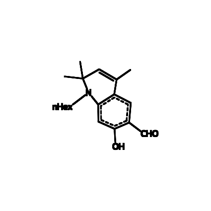 CCCCCCN1c2cc(O)c(C=O)cc2C(C)=CC1(C)C